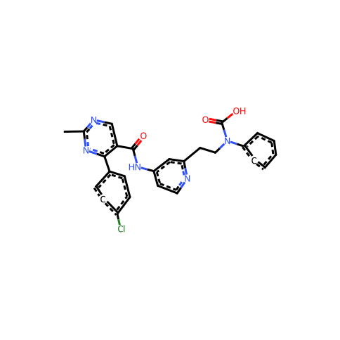 Cc1ncc(C(=O)Nc2ccnc(CCN(C(=O)O)c3ccccc3)c2)c(-c2ccc(Cl)cc2)n1